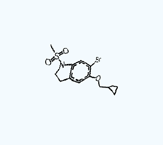 CS(=O)(=O)N1CCc2cc(OCC3CC3)c(Br)cc21